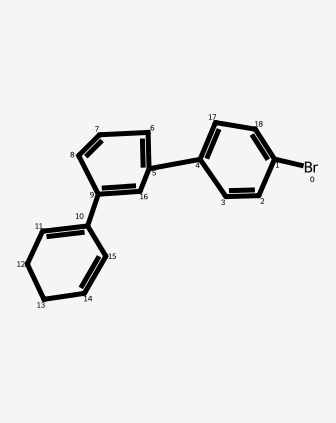 Brc1ccc(-c2cccc(C3=CCCC=C3)c2)cc1